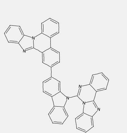 c1ccc2c(c1)nc(-n1c3ccccc3c3ccc(-c4ccc5c6ccccc6n6c7ccccc7nc6c5c4)cc31)n1c3ccccc3nc21